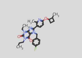 CCCn1c(=O)c2c(nc(-c3ccc(OC4CCC4C)nc3C)n2Cc2ccc(F)cc2)n(CC)c1=O